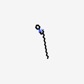 CCCCCCCCCCCCCCc1cc[n+](-c2ccccc2)cc1